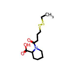 CCSSCCCC(=O)N1CCCCC1C(=O)O